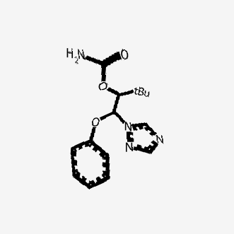 CC(C)(C)C(OC(N)=O)C(Oc1ccccc1)n1cncn1